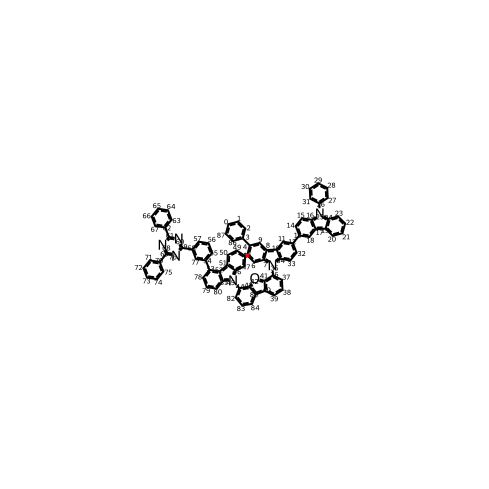 c1ccc(-c2ccc3c(c2)c2cc(-c4ccc5c(c4)c4ccccc4n5-c4ccccc4)ccc2n3-c2cccc3c2oc2c(-n4c5ccccc5c5c(-c6cccc(-c7nc(-c8ccccc8)nc(-c8ccccc8)n7)c6)cccc54)cccc23)cc1